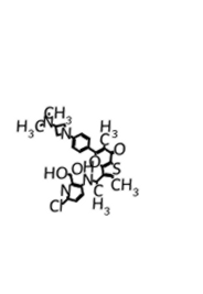 Cc1sc2c(=O)c(C)c(-c3ccc(N4CC(N(C)C)C4)cc3)oc2c1C(C)Nc1ccc(Cl)nc1C(=O)O